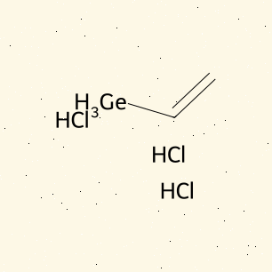 C=[CH][GeH3].Cl.Cl.Cl